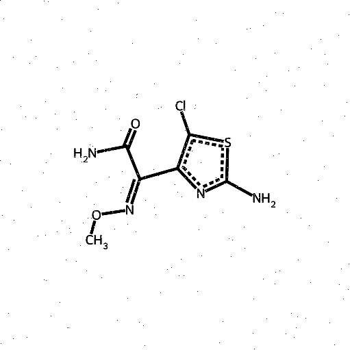 CON=C(C(N)=O)c1nc(N)sc1Cl